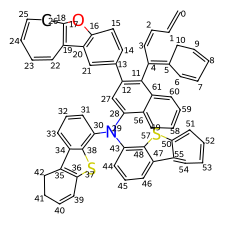 C=C/C=C\C(=C1\C=CC=CC1)c1c(-c2ccc3oc4c(c3c2)C=CC=CC4)cc(N(c2cccc3c4c(sc23)C=CCC4)c2cccc3c2sc2ccccc23)c2ccccc12